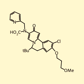 COCCCOc1cc2c(cc1Cl)-c1cc(=O)c(N(Cc3ccccn3)C(=O)O)cn1C(C(C)(C)C)C2